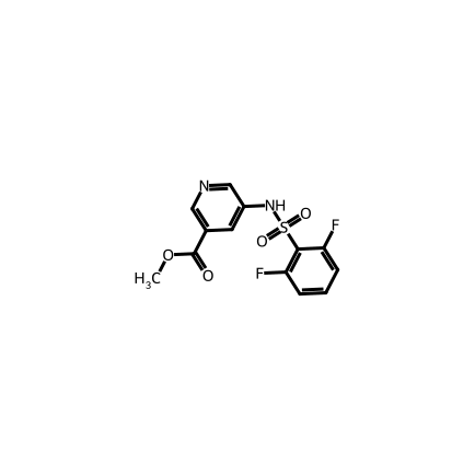 COC(=O)c1cncc(NS(=O)(=O)c2c(F)cccc2F)c1